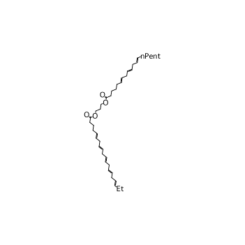 CCC=CCC=CCC=CCC=CCC=CCCCC(=O)OCCCOC(=O)CCCCC=CCC=CCC=CCCCCC